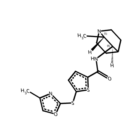 Cc1coc(Sc2ccc(C(=O)N[C@@H]3C4CCN(CC4)[C@H]3C)s2)n1